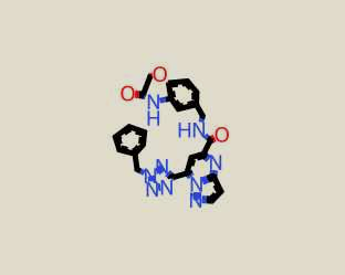 O=C1COc2ccc(CNC(=O)c3cc(-c4nnn(Cc5ccccc5)n4)n4nccc4n3)cc2N1